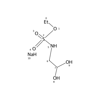 CCOS(=O)(=O)NCC(O)O.[NaH]